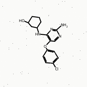 Nc1ncc(Oc2ccc(Cl)cc2)c(NC2CCCC(O)C2)n1